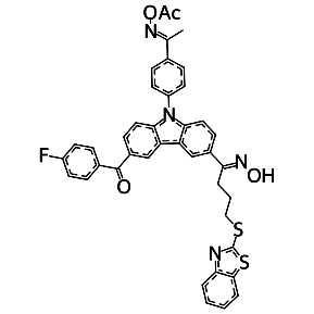 CC(=O)ON=C(C)c1ccc(-n2c3ccc(C(=O)c4ccc(F)cc4)cc3c3cc(C(CCCSc4nc5ccccc5s4)=NO)ccc32)cc1